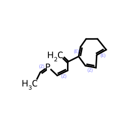 C=C(/C=C\P=C/C)C1=C/CC/C=C/C=C\1